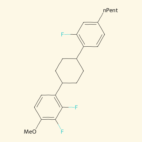 CCCCCc1ccc(C2CCC(c3ccc(OC)c(F)c3F)CC2)c(F)c1